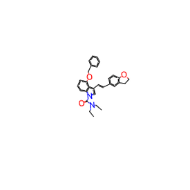 CCN(CC)C(=O)n1cc(C=Cc2ccc3c(c2)CCO3)c2c(OCc3ccccc3)cccc21